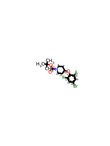 CC(C)(C)OC(=O)N1CCC(Oc2c(F)cc(Br)cc2F)CC1